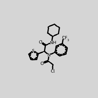 O=C(NC1CCCCC1)C(c1cccs1)N(C(=O)CCl)c1cccc(C(F)(F)F)c1